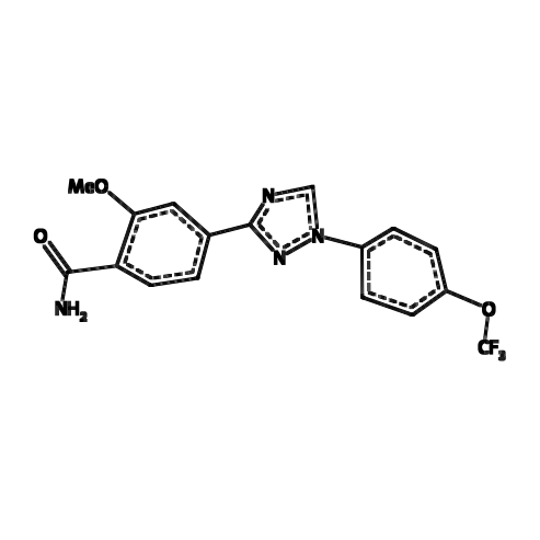 COc1cc(-c2ncn(-c3ccc(OC(F)(F)F)cc3)n2)ccc1C(N)=O